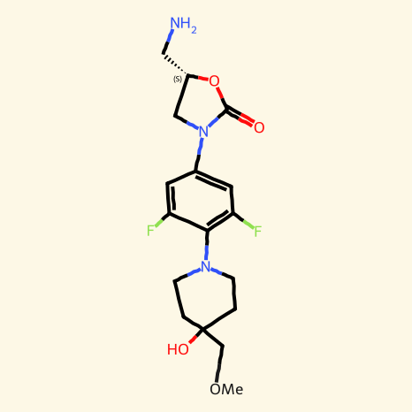 COCC1(O)CCN(c2c(F)cc(N3C[C@H](CN)OC3=O)cc2F)CC1